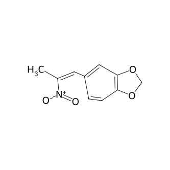 C/C(=C/c1ccc2c(c1)OCO2)[N+](=O)[O-]